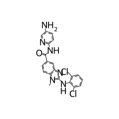 Cn1c(Nc2c(Cl)cccc2Cl)nc2cc(C(=O)Nc3ccc(N)cn3)ccc21